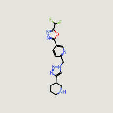 FC(F)c1nnc(-c2ccc(Cn3cc(C4CCCNC4)nn3)nc2)o1